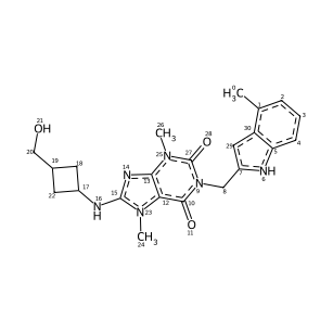 Cc1cccc2[nH]c(Cn3c(=O)c4c(nc(NC5CC(CO)C5)n4C)n(C)c3=O)cc12